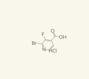 Cl.O=C(O)c1ccnc(Br)c1F